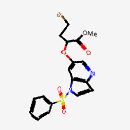 COC(=O)C(CCBr)Oc1cnc2ccn(S(=O)(=O)c3ccccc3)c2c1